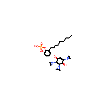 CCCCCCCCCc1ccccc1OP(=O)(O)O.O=C1C=C(N2CC2)C(=O)C(N2CC2)=C1N1CC1